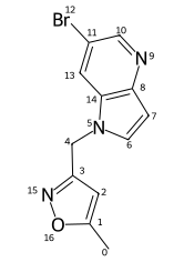 Cc1cc(Cn2ccc3ncc(Br)cc32)no1